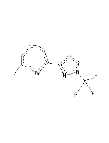 FC(F)(F)n1ccc(-c2cccc(I)n2)n1